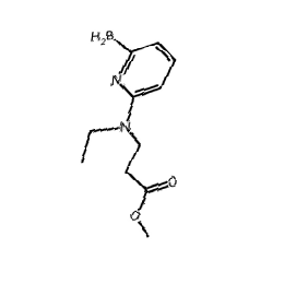 Bc1cccc(N(CC)CCC(=O)OC)n1